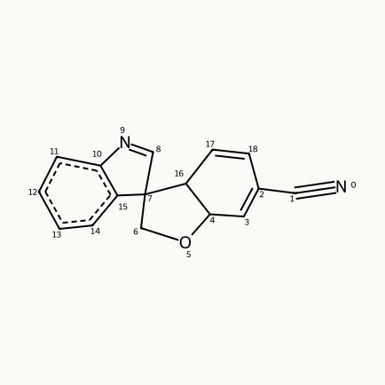 N#CC1=CC2OCC3(C=Nc4ccccc43)C2C=C1